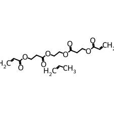 C=CC.C=CC(=O)OCCC(=O)OCCOC(=O)CCOC(=O)C=C